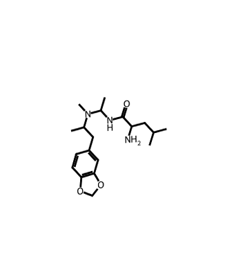 CC(C)CC(N)C(=O)NC(C)N(C)C(C)Cc1ccc2c(c1)OCO2